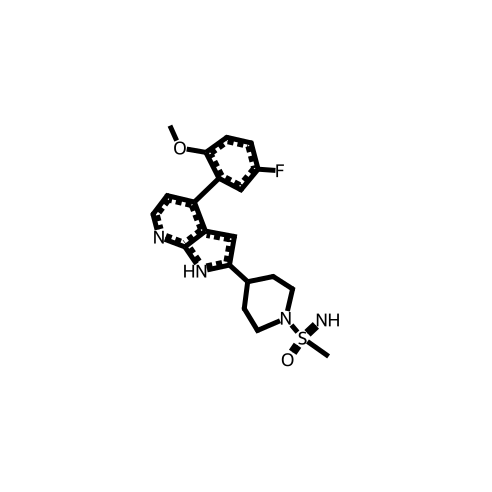 COc1ccc(F)cc1-c1ccnc2[nH]c(C3CCN(S(C)(=N)=O)CC3)cc12